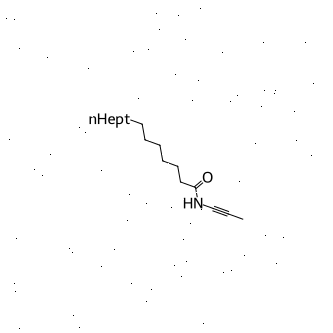 CC#CNC(=O)CCCCCCCCCCCCC